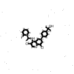 CC(Nc1c(Cl)cnc2c(Cl)cc(-c3ccc(C(C)(C)O)cc3)cc12)c1ccccc1F